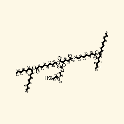 CCCCCCCCC(CCCCCC)OC(=O)CCCCCCCOC(=O)CCC(OC(=O)OCCN(C)CCO)C(=O)OCCCCCCCC(=O)OC(CCCCCC)CCCCCCCC